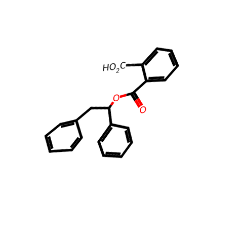 O=C(O)c1ccccc1C(=O)OC(Cc1ccccc1)c1ccccc1